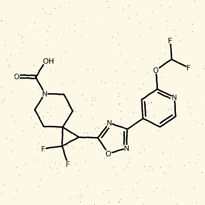 O=C(O)N1CCC2(CC1)C(c1nc(-c3ccnc(OC(F)F)c3)no1)C2(F)F